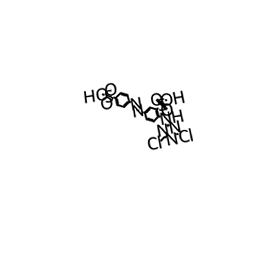 O=S(=O)(O)c1ccc(N=Nc2ccc(Nc3nc(Cl)nc(Cl)n3)c(S(=O)(=O)O)c2)cc1